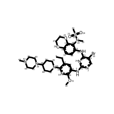 CCc1cc(Nc2ncc(Br)c(Nc3ccc4c(c3N(C)S(C)(=O)=O)OCCO4)n2)c(OC)nc1N1CCC(N2CCN(C)CC2)CC1